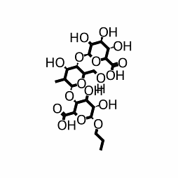 CCCO[C@@H]1OC(C(=O)O)[C@@H](O[C@H]2OC(CO)[C@@H](O[C@@H]3OC(C(=O)O)[C@@H](O)[C@H](O)C3O)[C@H](O)C2C)C(O)[C@@H]1O